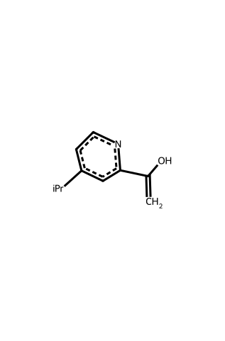 C=C(O)c1cc(C(C)C)ccn1